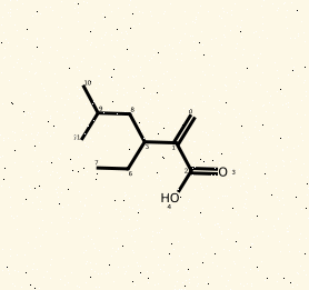 C=C(C(=O)O)C(CC)CC(C)C